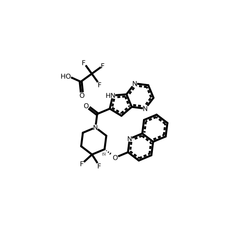 O=C(O)C(F)(F)F.O=C(c1cc2nccnc2[nH]1)N1CCC(F)(F)[C@@H](Oc2ccc3ccccc3n2)C1